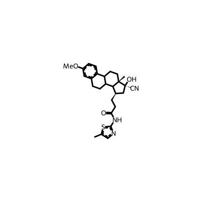 COc1ccc2c(c1)CCC1C2CC[C@@]2(C)C1[C@H](CCC(=O)Nc1ncc(C)s1)C[C@@]2(O)C#N